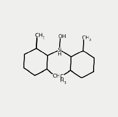 CC1CCCC(C)C1[SiH](O)C1C(C)CCCC1C